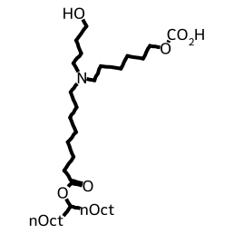 CCCCCCCCC(CCCCCCCC)OC(=O)CCCCCCCN(CCCCO)CCCCCCOC(=O)O